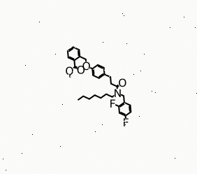 CCCCCCCN(Cc1ccc(F)cc1F)C(=O)CCc1ccc(OCc2ccccc2C(=O)OC)cc1